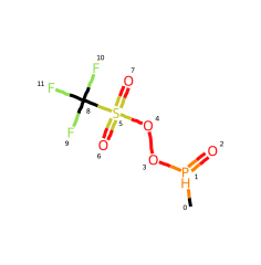 C[PH](=O)OOS(=O)(=O)C(F)(F)F